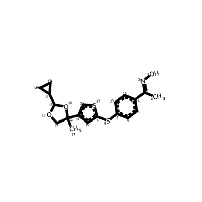 CC(=NO)c1ccc(Sc2cc(C3(C)COC(C4CC4)O3)cs2)cc1